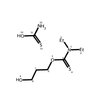 CCN(CC)C(=S)OCCCO.NC(O)=S